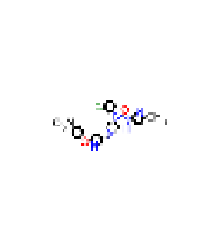 Cc1ccc(NC(=O)N(c2cccc(F)c2)C2CCN(Cc3ccc(Oc4ccc([N+](=O)[O-])cc4)nc3)CC2)cn1